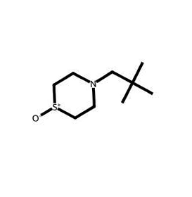 CC(C)(C)CN1CC[S+]([O-])CC1